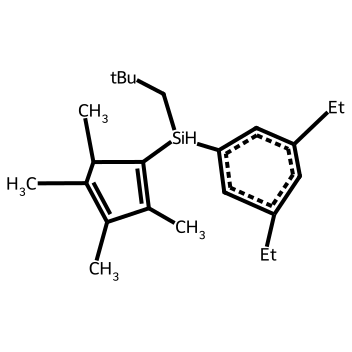 CCc1cc(CC)cc([SiH](CC(C)(C)C)C2=C(C)C(C)=C(C)C2C)c1